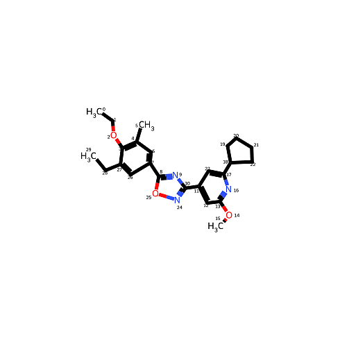 C[CH]Oc1c(C)cc(-c2nc(-c3cc(OC)nc(C4CCCC4)c3)no2)cc1CC